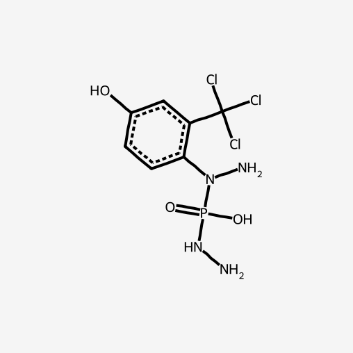 NNP(=O)(O)N(N)c1ccc(O)cc1C(Cl)(Cl)Cl